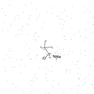 CN[S@+]([O-])C(C)(C)C